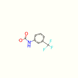 [O]C(=O)Nc1cccc(C(F)(F)F)c1